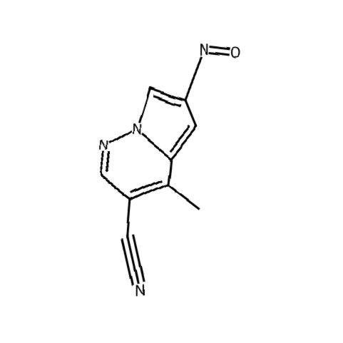 Cc1c(C#N)cnn2cc(N=O)cc12